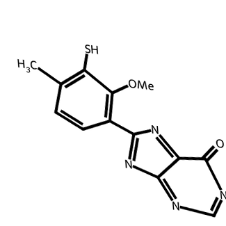 COc1c(C2=NC3=NC=NC(=O)C3=N2)ccc(C)c1S